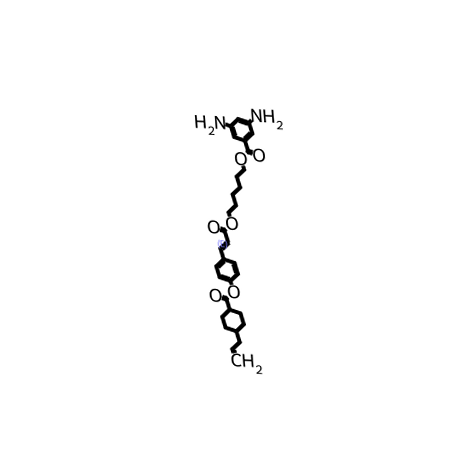 C=CCC1CCC(C(=O)Oc2ccc(/C=C/C(=O)OCCCCCCOC(=O)c3cc(N)cc(N)c3)cc2)CC1